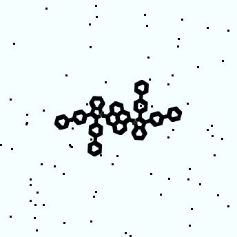 c1ccc(-c2ccc(-c3c(-c4ccc(-c5ccccc5)cc4)n(-c4cc5cccc6c(-n7c(-c8ccc(-c9ccccc9)cc8)c(-c8ccc(-c9ccccc9)cc8)c8ccccc87)cc7cccc4c7c56)c4ccccc34)cc2)cc1